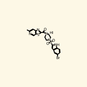 Cc1cc2nc(C(=O)N3CCN(S(=O)(=O)c4cc5cc(Br)ccc5[nH]4)CC3)sc2cn1.I